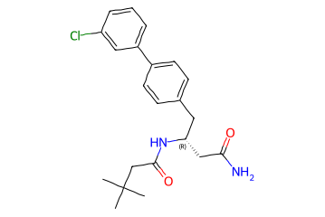 CC(C)(C)CC(=O)N[C@@H](CC(N)=O)Cc1ccc(-c2cccc(Cl)c2)cc1